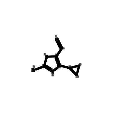 O=Cc1sc(Br)nc1C1CC1